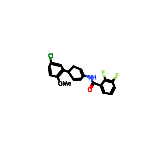 COc1ccc(Cl)cc1C1C=CC(NC(=O)c2cccc(F)c2F)=CC1